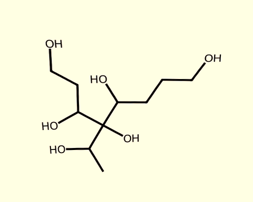 CC(O)C(O)(C(O)CCO)C(O)CCCO